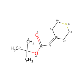 CC(C)(C)OC(=O)C=C1CCSCC1